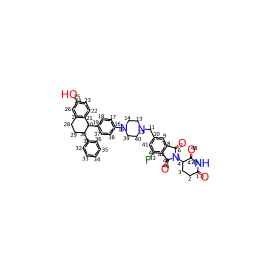 O=C1CCC(N2C(=O)c3cc(CN4CCN(c5ccc([C@@H]6c7ccc(O)cc7CC[C@@H]6c6ccccc6)cc5)CC4)cc(F)c3C2=O)C(=O)N1